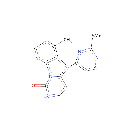 CSc1nccc(-c2c3c(C)ccnc3n3c(=O)[nH]ccc23)n1